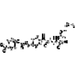 C=CCOC(=O)NC(CCC(=O)Nc1ccc(COC(=O)Oc2ccc([N+](=O)[O-])cc2)cc1)C(=O)O